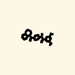 COc1cc(OC)cc(C(=O)Nc2ccc(C(=O)N3CCCCc4ccccc43)cc2)c1